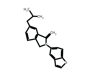 C=C1c2cc(CC(C)C)ccc2CN1c1ccc2sccc2c1